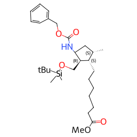 COC(=O)CCCCCC[C@H]1[C@@H](C)CC(NC(=O)OCc2ccccc2)[C@@H]1CO[Si](C)(C)C(C)(C)C